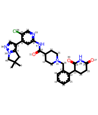 CC1(C)Cc2c(-c3cc(NC(=O)C4CCN(Cc5ccccc5C5CCC(=O)NC5=O)CC4)ncc3Cl)cnn2C1